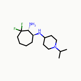 CC(C)N1CCC(N[C@H]2CCCCC(F)(F)[C@@H]2N)CC1